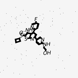 Nc1c([S+]([O-])C2CCC2)sc2nc(-c3ccc(NCCO)nc3)cc(-c3ccc(F)cn3)c12